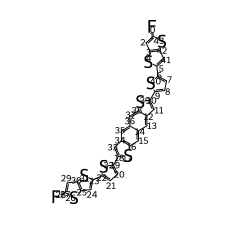 Fc1cc2sc(-c3ccc(-c4cc5cc6cc7sc(-c8ccc(-c9cc%10sc(F)cc%10s9)s8)cc7cc6cc5s4)s3)cc2s1